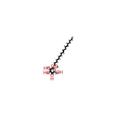 CCCCCC=CCC=CCCCCCCCC(=O)O[C@H]1O[C@H](CO)[C@@H](O)[C@H](O)[C@H]1O